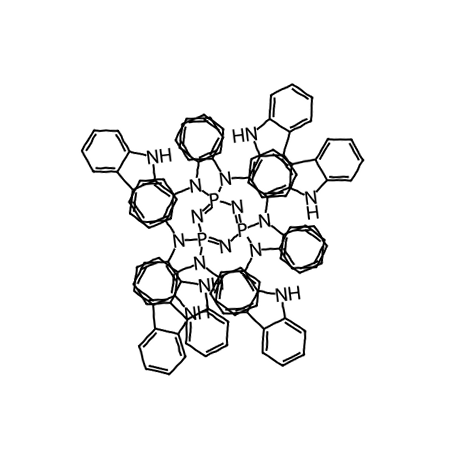 c1ccc(N(c2cccc3c2[nH]c2ccccc23)P2(N(c3ccccc3)c3cccc4c3[nH]c3ccccc34)=NP(N(c3ccccc3)c3cccc4c3[nH]c3ccccc34)(N(c3ccccc3)c3cccc4c3[nH]c3ccccc34)=NP(N(c3ccccc3)c3cccc4c3[nH]c3ccccc34)(N(c3ccccc3)c3cccc4c3[nH]c3ccccc34)=N2)cc1